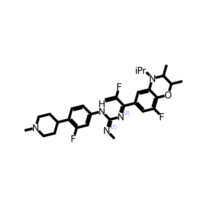 C=C(F)/C(=N\C(=N/C)Nc1ccc(C2CCN(C)CC2)c(F)c1)c1cc(F)c2c(c1)N(C(C)C)C(C)C(C)O2